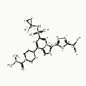 CN(C)C(=O)N1CCC(c2cc(S(=O)(=O)NC3(C)CC3)cn3c(-c4nnc(C(F)F)s4)ncc23)CC1